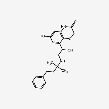 CC(C)(CCc1ccccc1)NCC(O)c1cc(O)cc2c1OCC(=O)N2